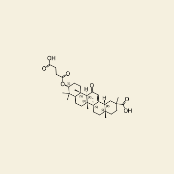 CC1(C(=O)O)CC[C@]2(C)CC[C@]3(C)C(=CC(=O)[C@@H]4[C@@]5(C)CC[C@H](OC(=O)CCC(=O)O)C(C)(C)C5CC[C@]43C)[C@@H]2C1